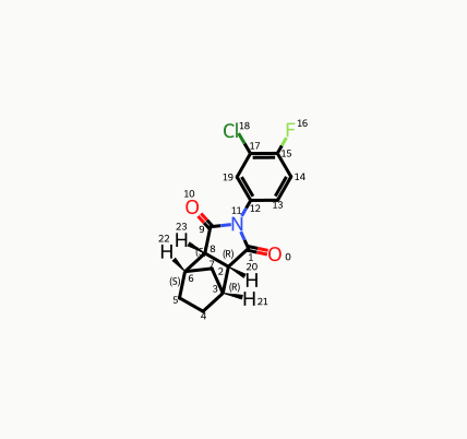 O=C1[C@@H]2[C@@H]3CC[C@@H](C3)[C@@H]2C(=O)N1c1ccc(F)c(Cl)c1